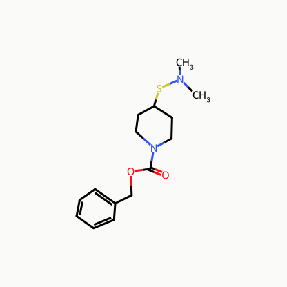 CN(C)SC1CCN(C(=O)OCc2ccccc2)CC1